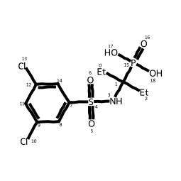 CCC(CC)(NS(=O)(=O)c1cc(Cl)cc(Cl)c1)P(=O)(O)O